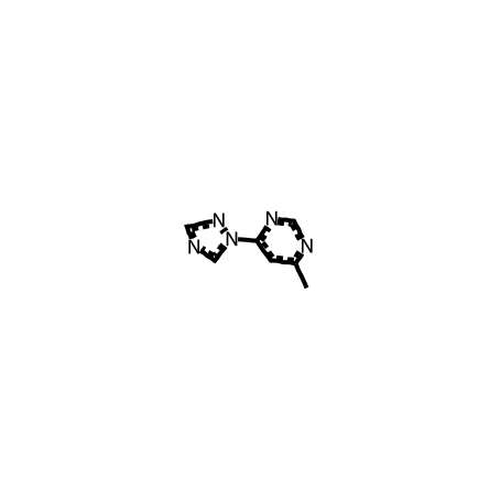 Cc1cc(-n2cncn2)ncn1